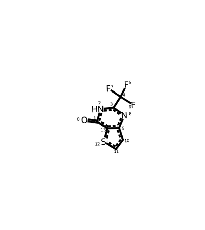 O=c1[nH]c(C(F)(F)F)nc2ccsc12